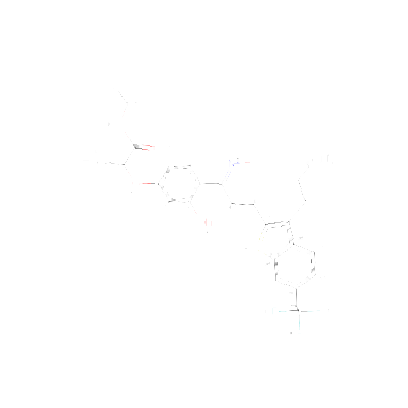 CCCc1c(CCC(=NO)c2ccc(OC(C)C(=O)OCC)cc2O)sc2cc(C(F)(F)F)ccc12